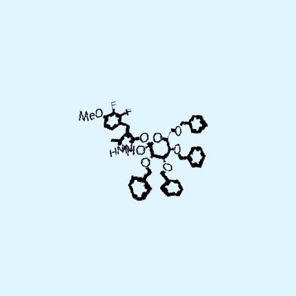 COc1ccc(Cc2c(O[C@]3(O)O[C@H](COCc4ccccc4)[C@@H](OCc4ccccc4)[C@H](OCc4ccccc4)[C@H]3OCc3ccccc3)n[nH]c2C)c(F)c1F